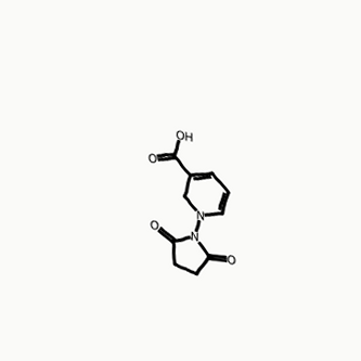 O=C(O)C1=CC=CN(N2C(=O)CCC2=O)C1